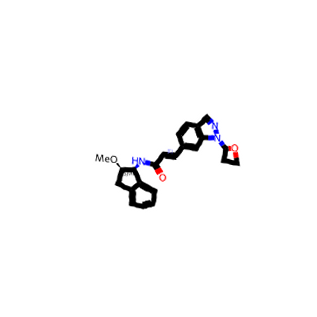 CO[C@H]1Cc2ccccc2[C@@H]1NC(=O)/C=C/c1ccc2cnn(C3CCO3)c2c1